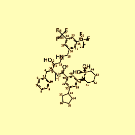 O=C(N[C@@H](Cc1ccccc1)[C@@H](O)CNCc1cc(C(F)(F)F)cc(C(F)(F)F)c1)c1cc(C2CCCC2)cc(N2CCCCS2(O)O)c1